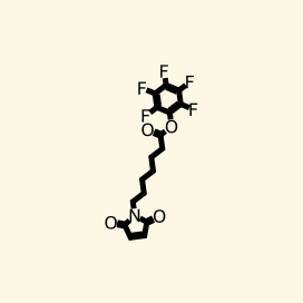 O=C(CCCCCCN1C(=O)C=CC1=O)Oc1c(F)c(F)c(F)c(F)c1F